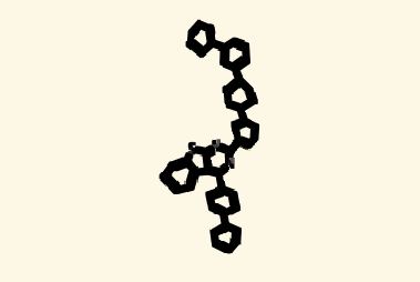 c1ccc(-c2ccc(-c3nc(-c4cccc(-c5ccc(-c6cccc(-c7ccccc7)c6)cc5)c4)nc4sc5ccccc5c34)cc2)cc1